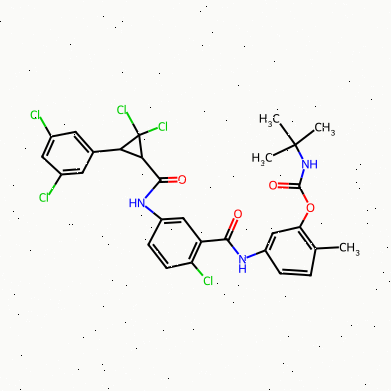 Cc1ccc(NC(=O)c2cc(NC(=O)C3C(c4cc(Cl)cc(Cl)c4)C3(Cl)Cl)ccc2Cl)cc1OC(=O)NC(C)(C)C